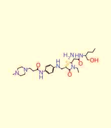 CCCC(CO)NC(=O)[C@@H](N)C1S[C@H](CNc2ccc(NC(=O)CCN3CCN(C)CC3)cc2)C(=O)N1CC